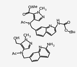 CC(=O)N(Cc1ccc2ccc(N)nc2c1)c1cnn(C)c1CO.COC(=O)c1c(N(Cc2ccc3ccc(NC(=O)OC(C)(C)C)nc3c2)C(C)=O)cnn1C